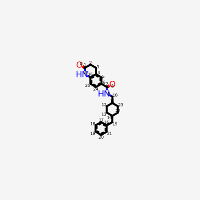 O=C1CCc2cc(C(=O)NCC3CCC(Cc4ccccc4)CC3)ccc2N1